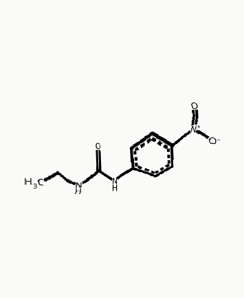 CCNC(=O)Nc1ccc([N+](=O)[O-])cc1